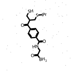 BC(=O)CNC(=O)c1ccc(C(=O)C(CS)CSC(C)C)cc1